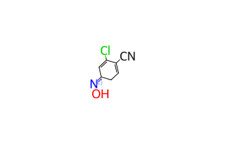 N#CC1=CC/C(=N\O)C=C1Cl